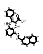 O=C(O)[C@H](O)[C@H](Nc1cccc(OCc2ccc3ccccc3n2)c1)c1ccccc1